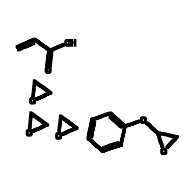 C1CO1.C1CO1.C1CO1.C=CC(=O)O.c1ccc(OC2CO2)cc1